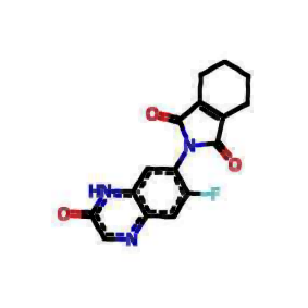 O=C1C2=C(CCCC2)C(=O)N1c1cc2[nH]c(=O)cnc2cc1F